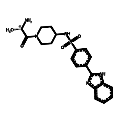 C[C@H](N)C(=O)N1CCC(NS(=O)(=O)c2ccc(-c3nc4ccccc4[nH]3)cc2)CC1